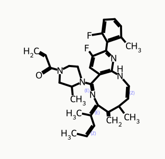 C=CC(=O)N1CCN(/C2=N/C(=C(C)/C=C\C)C(=C)C(C)/C=C\Nc3nc(-c4c(C)cccc4F)c(F)cc32)C(C)C1